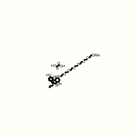 C=CCN1CC[C@]23c4c5ccc(O)c4O[C@H]2[C@@H](OCCOCCOCCOCCOCCOCCOCCOC)CC[C@@]3(O)[C@H]1C5.O=C(O)C(=O)O